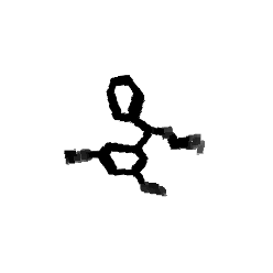 C=CO[C@H](c1ccccc1)c1cc(OC)cc(OC)c1